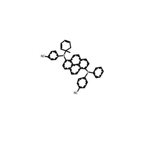 CC1(N(c2ccc(C#N)cc2)c2ccc3ccc4c(N(c5ccccc5)c5ccc(C#N)cc5)ccc5ccc2c3c54)C=CC=CC1